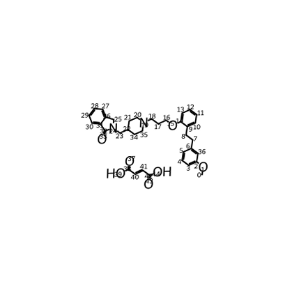 COc1cccc(CCc2ccccc2OCCCN2CCC(CN3Cc4ccccc4C3=O)CC2)c1.O=C(O)C=CC(=O)O